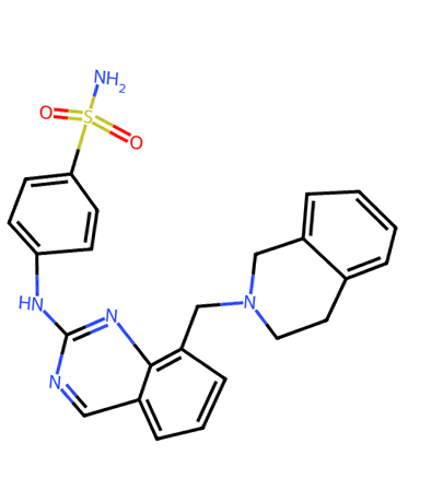 NS(=O)(=O)c1ccc(Nc2ncc3cccc(CN4CCc5ccccc5C4)c3n2)cc1